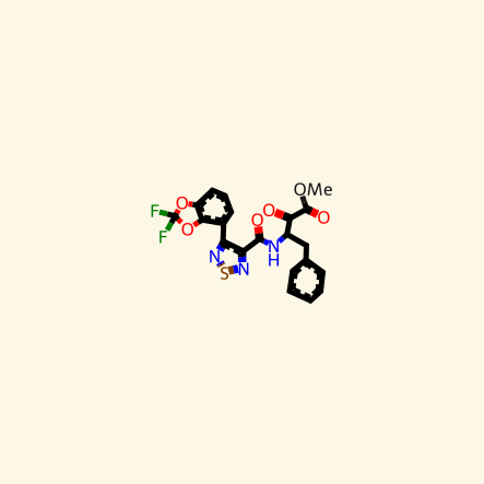 COC(=O)C(=O)C(Cc1ccccc1)NC(=O)c1nsnc1-c1cccc2c1OC(F)(F)O2